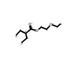 CCOCCOC(=O)C(CC)CC